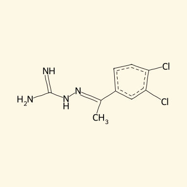 C/C(=N\NC(=N)N)c1ccc(Cl)c(Cl)c1